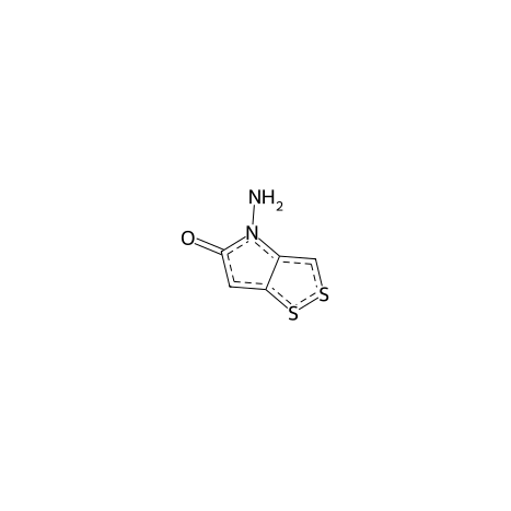 Nn1c2cssc-2cc1=O